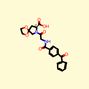 O=C(NCC(=O)N1CC2(C[C@H]1C(=O)O)OCCO2)c1ccc(C(=O)c2ccccc2)cc1